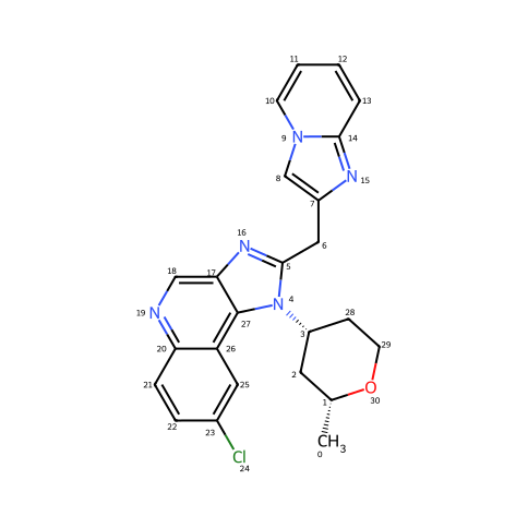 C[C@@H]1C[C@H](n2c(Cc3cn4ccccc4n3)nc3cnc4ccc(Cl)cc4c32)CCO1